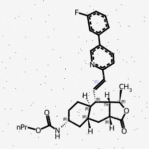 CCCOC(=O)N[C@@H]1CC[C@@H]2[C@@H](C1)C[C@H]1C(=O)O[C@H](C)[C@H]1[C@H]2/C=C/c1ccc(-c2cccc(F)c2)cn1